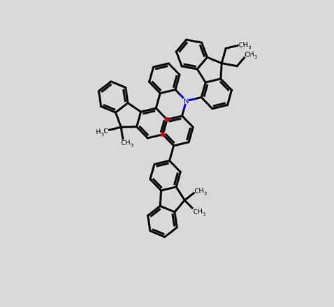 CCC1(CC)c2ccccc2-c2c(N(c3ccc(-c4ccc5c(c4)C(C)(C)c4ccccc4-5)cc3)c3ccccc3-c3cccc4c3-c3ccccc3C4(C)C)cccc21